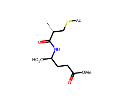 COC(=O)CC[C@H](NC(=O)[C@H](C)CSC(C)=O)C(=O)O